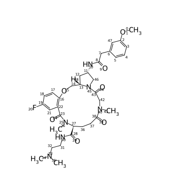 COc1cccc(CC(=O)N[C@H]2C[C@H]3COc4ccc(F)cc4C(=O)N(C)[C@H](C(=O)NCCN(C)C)CCC(=O)N(C)CC(=O)N3C2)c1